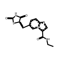 CCNC(=O)c1cnc2ccc(C=C3SC(=O)NC3=O)cn12